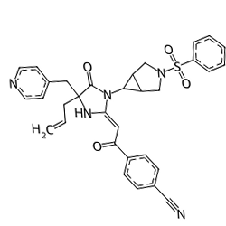 C=CCC1(Cc2ccncc2)NC(=CC(=O)c2ccc(C#N)cc2)N(C2C3CN(S(=O)(=O)c4ccccc4)CC32)C1=O